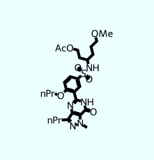 CCCOc1ccc(S(=O)(=O)NC(CCCOC)CCOC(C)=O)cc1-c1nc2c(CCC)nn(C)c2c(=O)[nH]1